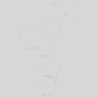 O=C(Cc1ccccc1Br)N1CCCCc2cc(C(O)(F)C(F)(F)F)ccc21